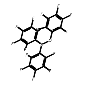 Fc1c(F)c(F)c(OB(c2c(F)c(F)c(F)c(F)c2F)c2c(F)c(F)c(F)c(F)c2F)c(F)c1F